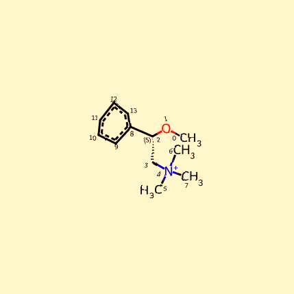 CO[C@H](C[N+](C)(C)C)c1ccccc1